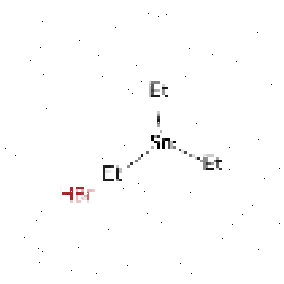 Br.C[CH2][Sn]([CH2]C)[CH2]C